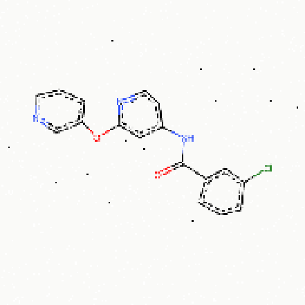 O=C(Nc1ccnc(Oc2cccnc2)c1)c1cccc(Cl)c1